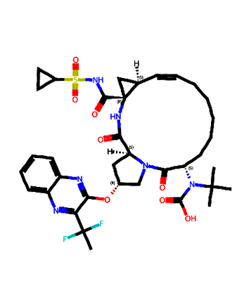 CC(F)(F)c1nc2ccccc2nc1O[C@@H]1C[C@H]2C(=O)N[C@]3(C(=O)NS(=O)(=O)C4CC4)C[C@H]3C=CCCCCC[C@H](N(C(=O)O)C(C)(C)C)C(=O)N2C1